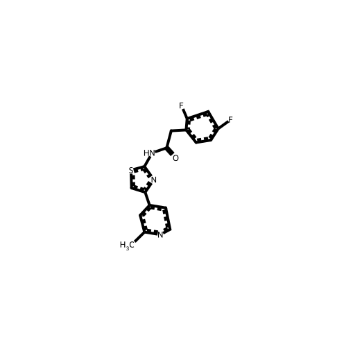 Cc1cc(-c2csc(NC(=O)Cc3ccc(F)cc3F)n2)ccn1